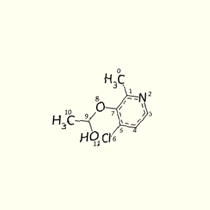 Cc1nccc(Cl)c1OC(C)O